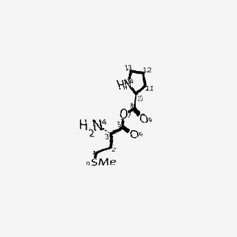 CSCC[C@H](N)C(=O)OC(=O)[C@@H]1CCCN1